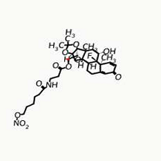 CC1(C)O[C@@H]2C[C@H]3[C@@H]4CCC5=CC(=O)C=C[C@]5(C)[C@@]4(F)[C@@H](O)C[C@]3(C)[C@]2(C(=O)COC(=O)CCNC(=O)CCCCCO[N+](=O)[O-])O1